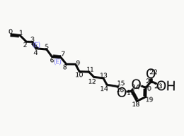 C=CC/C=C/C/C=C/CCCCCCCCOc1ccc(C(=O)O)o1